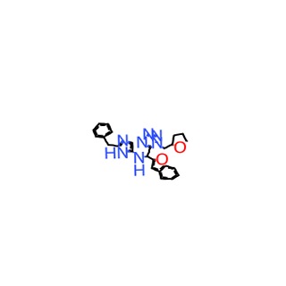 c1ccc(Cc2ncc(NC(c3cc4ccccc4o3)c3nnnn3CC3CCCO3)[nH]2)cc1